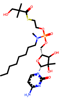 CCCCCCCCN(C)P(=O)(OCCSC(=O)C(C)(C)CO)OC[C@H]1O[C@@H](n2ccc(N)nc2=O)C(C)(O)C1O